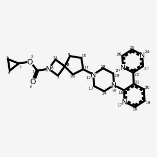 O=C(OC1CC1)N1CC2(CCC(N3CCN(c4ncccc4-c4cnccn4)CC3)C2)C1